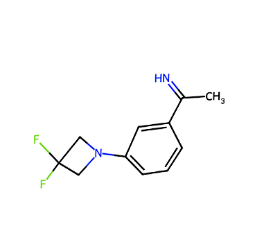 CC(=N)c1cccc(N2CC(F)(F)C2)c1